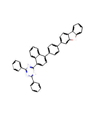 c1ccc(-c2nc(-c3ccccc3)nc(-c3ccc(-c4ccc(-c5ccc6c(c5)oc5ccccc56)cc4)c4ccccc34)n2)cc1